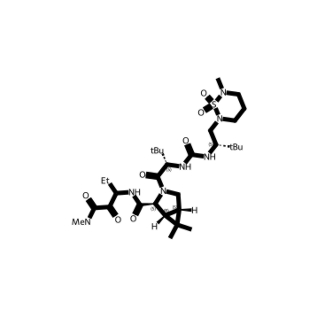 CCC(NC(=O)[C@@H]1[C@@H]2[C@H](CN1C(=O)[C@@H](NC(=O)N[C@H](CN1CCCN(C)S1(=O)=O)C(C)(C)C)C(C)(C)C)C2(C)C)C(=O)C(=O)NC